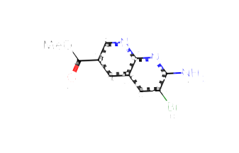 COC(=O)c1cnc2nc(N)c(Br)cc2c1